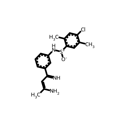 C/C(N)=C/C(=N)c1cccc(N[S+]([O-])c2cc(C)c(Cl)cc2C)c1